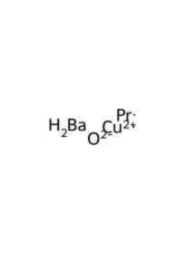 [BaH2].[Cu+2].[O-2].[Pr]